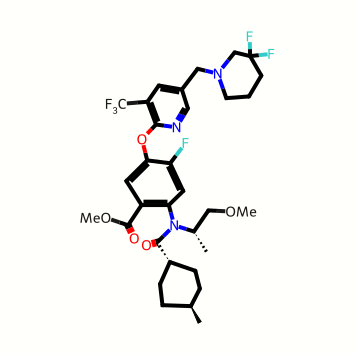 COC[C@H](C)N(c1cc(F)c(Oc2ncc(CN3CCCC(F)(F)C3)cc2C(F)(F)F)cc1C(=O)OC)C(=O)[C@H]1CC[C@H](C)CC1